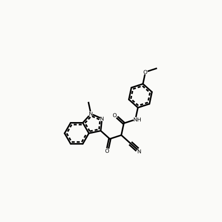 COc1ccc(NC(=O)C(C#N)C(=O)c2nn(C)c3ccccc23)cc1